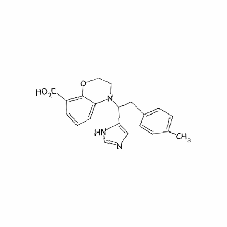 Cc1ccc(CC(c2cnc[nH]2)N2CCOc3c(C(=O)O)cccc32)cc1